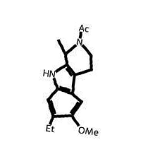 CCc1cc2[nH]c3c(c2cc1OC)CCN(C(C)=O)C3C